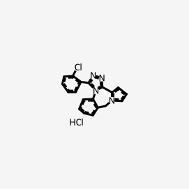 Cl.Clc1ccccc1-c1nnc2n1-c1ccccc1Cn1cccc1-2